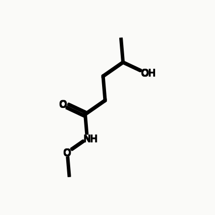 CONC(=O)CCC(C)O